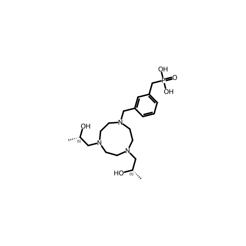 C[C@H](O)CN1CCN(Cc2cccc(CP(=O)(O)O)c2)CCN(C[C@H](C)O)CC1